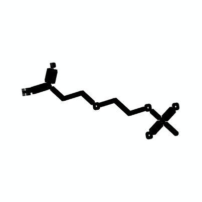 CS(=O)(=O)OCCOCCS(#P)=P